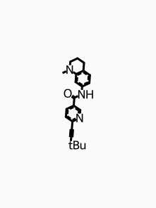 CN1CCCc2ccc(NC(=O)c3ccc(C#CC(C)(C)C)nc3)cc21